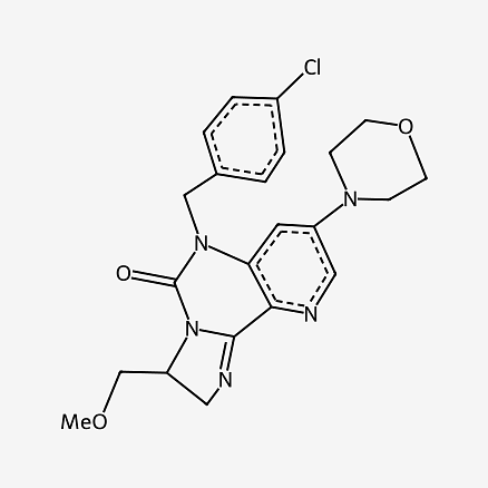 COCC1CN=C2c3ncc(N4CCOCC4)cc3N(Cc3ccc(Cl)cc3)C(=O)N21